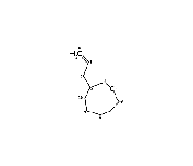 C=CC[C]1CCCCCCC1